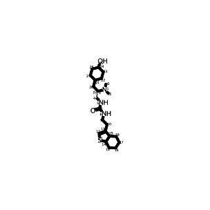 CN(C)[C@H](CNC(=O)NCCC1=CSC2CCCCC12)CC1CCC(O)CC1